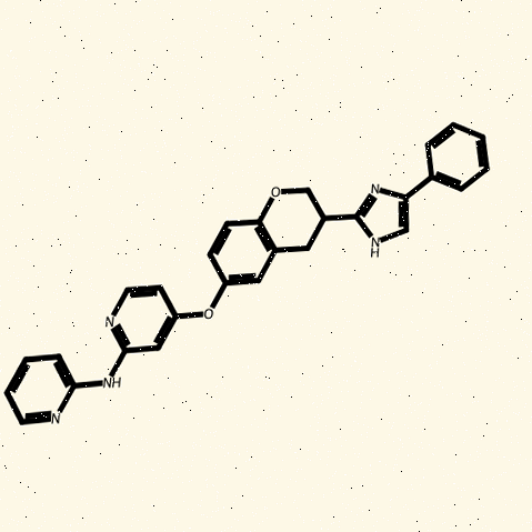 c1ccc(-c2c[nH]c(C3COc4ccc(Oc5ccnc(Nc6ccccn6)c5)cc4C3)n2)cc1